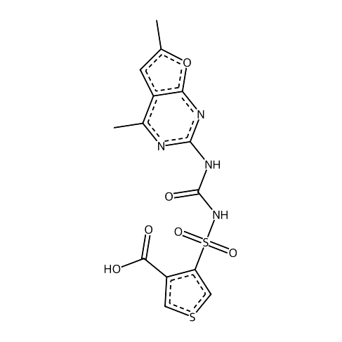 Cc1cc2c(C)nc(NC(=O)NS(=O)(=O)c3cscc3C(=O)O)nc2o1